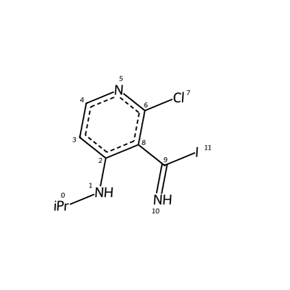 CC(C)Nc1ccnc(Cl)c1C(=N)I